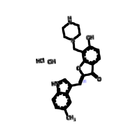 Cc1ccc2[nH]cc(/C=C3\Oc4c(ccc(O)c4CN4CCNCC4)C3=O)c2c1.Cl.Cl